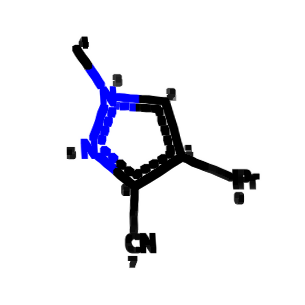 CC(C)c1cn(C)nc1C#N